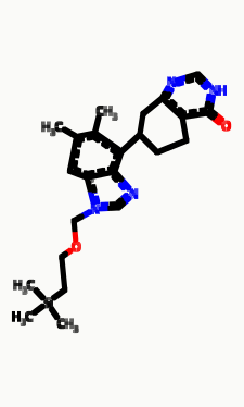 Cc1cc2c(ncn2COCC[Si](C)(C)C)c(C2CCc3c(nc[nH]c3=O)C2)c1C